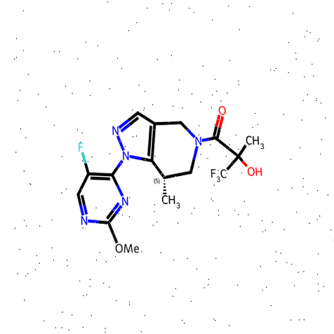 COc1ncc(F)c(-n2ncc3c2[C@@H](C)CN(C(=O)C(C)(O)C(F)(F)F)C3)n1